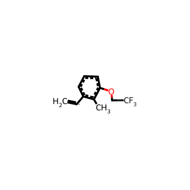 C=[C]c1cccc(OCC(F)(F)F)c1C